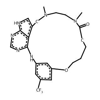 CN1CCN(C)C(=O)CCCCOc2cc(cc(C(F)(F)F)c2)Nc2ncnc3[nH]cc(c23)C1